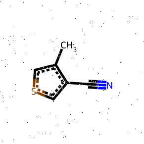 Cc1cs[c]c1C#N